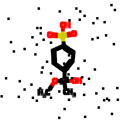 CO[Si](C)(O)c1ccc(S(=O)(=O)O)cc1